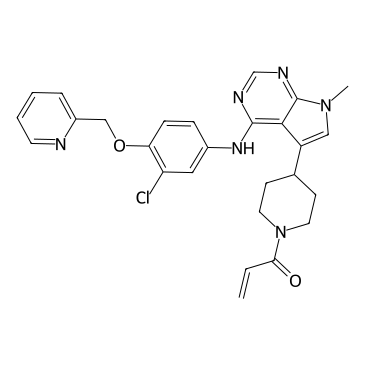 C=CC(=O)N1CCC(c2cn(C)c3ncnc(Nc4ccc(OCc5ccccn5)c(Cl)c4)c23)CC1